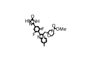 COC(=O)N1CCO[C@@H](Cc2c(-c3c(F)cc(-c4n[nH]c(=O)[nH]4)cc3F)nc3cc(C)ccn23)C1